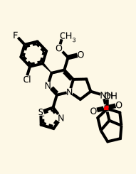 COC(=O)C1=C2CC(NS(=O)(=O)C3C4CCC3CC(O)C4)CN2C(c2nccs2)=N[C@H]1c1ccc(F)cc1Cl